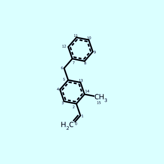 C=Cc1ccc(Cc2ccccc2)cc1C